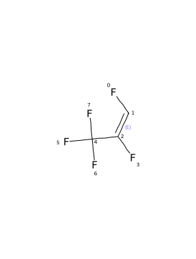 F/C=C(/F)C(F)(F)F